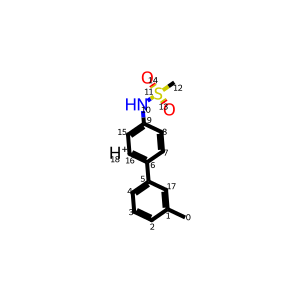 Cc1cccc(-c2ccc(NS(C)(=O)=O)cc2)c1.[H+]